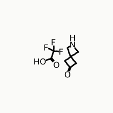 O=C(O)C(F)(F)F.O=C1CC2(CNC2)C1